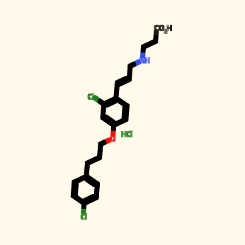 Cl.O=C(O)CCNC/C=C/c1ccc(OCCCc2ccc(Cl)cc2)cc1Cl